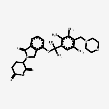 Bc1cc(C(B)(B)Oc2cccc3c2CN(C2CCC(=O)NC2=O)C3=O)c(B)c(B)c1CN1CCOCC1